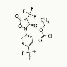 CCOC(=O)Cl.O=c1on(-c2ccc(C(F)(F)F)cc2)c(=O)n1C(F)(F)F